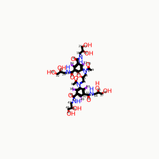 CC(=O)N(CC1CN(C(C)=O)c2c(I)c(C(=O)NCC(O)CO)c(I)c(C(=O)NCC(O)CO)c2O1)c1c(I)c(C(=O)NCC(O)CO)c(I)c(C(=O)NCC(O)CO)c1I